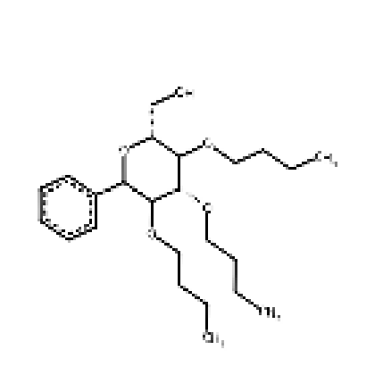 CCCCOC1C(c2ccccc2)O[C@H](CO)C(OCCCC)[C@@H]1OCCCC